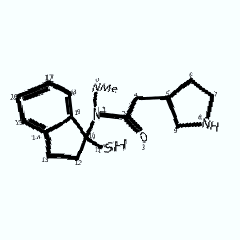 CNN(C(=O)CC1CCNC1)C1(S)CCc2ccccc21